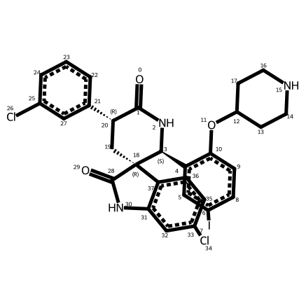 O=C1N[C@@H](c2cc(I)ccc2OC2CCNCC2)[C@]2(C[C@@H]1c1cccc(Cl)c1)C(=O)Nc1cc(Cl)ccc12